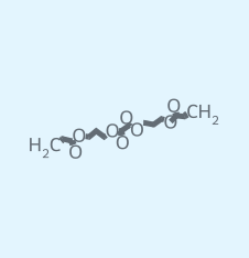 C=CC(=O)OCCCOC(=O)C(=O)OCCCOC(=O)C=C